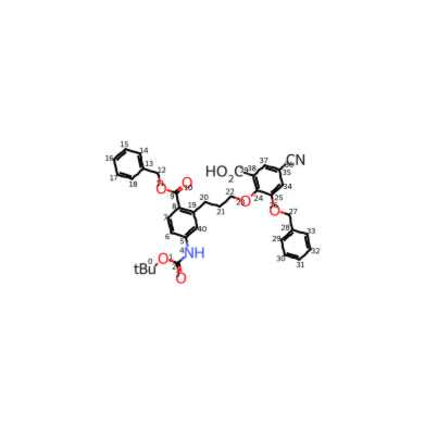 CC(C)(C)OC(=O)Nc1ccc(C(=O)OCc2ccccc2)c(CCCOc2c(OCc3ccccc3)cc(C#N)cc2C(=O)O)c1